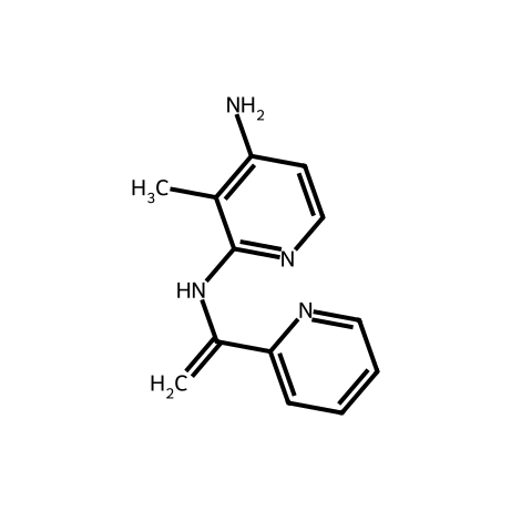 C=C(Nc1nccc(N)c1C)c1ccccn1